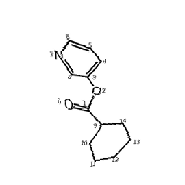 O=C(Oc1cccnc1)C1CCCCC1